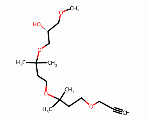 C#CCOCCC(C)(C)OCCC(C)(C)OC[C@H](O)COC